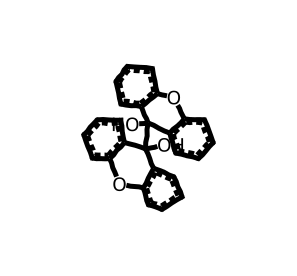 OC1(C2(O)c3ccccc3Oc3ccccc32)c2ccccc2Oc2ccccc21